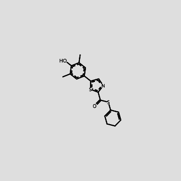 Cc1cc(-c2cnc(C(=O)SC3=CCCC=C3)s2)cc(C)c1O